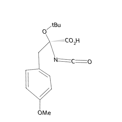 COc1ccc(C[C@](N=C=O)(OC(C)(C)C)C(=O)O)cc1